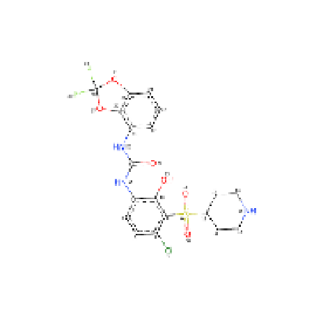 O=C(Nc1ccc(Cl)c(S(=O)(=O)C2CCNCC2)c1O)Nc1cccc2c1OC(F)(F)O2